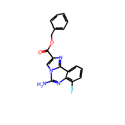 Nc1nc2c(F)cccc2c2nc(C(=O)OCc3ccccc3)cn12